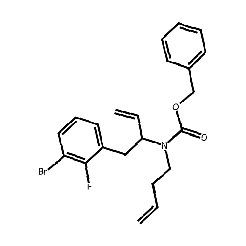 C=CCCN(C(=O)OCc1ccccc1)C(C=C)Cc1cccc(Br)c1F